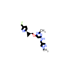 Cc1nc(NCc2cnn(C)c2)cc(OC[C@H]2C[C@@H]2c2ccc(CF)cn2)n1